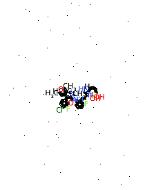 C[C@@H]1CC([C@H](c2ccc(Cl)c(F)c2)[C@@H](C(=O)Nc2cccc(F)c2CC[C@H]2CN[C@@H]3CCCS(O)(O)N2C3)N(C)C(=O)O)C[C@H](C)O1